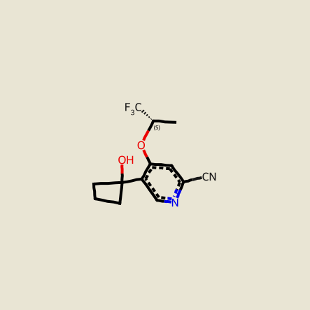 C[C@H](Oc1cc(C#N)ncc1C1(O)CCC1)C(F)(F)F